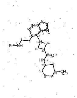 CCNCCc1cnc2ccnn2c1N1CC(C(=O)NC2CCCC(C)C2)C1